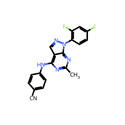 Cc1nc(Nc2ccc(C#N)cc2)c2cnn(-c3ccc(F)cc3F)c2n1